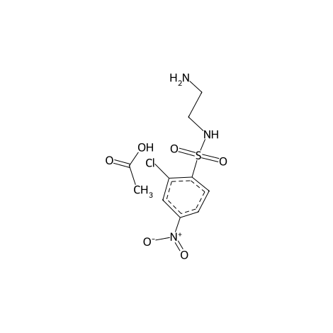 CC(=O)O.NCCNS(=O)(=O)c1ccc([N+](=O)[O-])cc1Cl